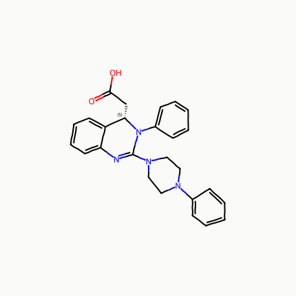 O=C(O)C[C@H]1c2ccccc2N=C(N2CCN(c3ccccc3)CC2)N1c1ccccc1